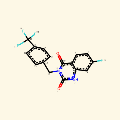 O=c1[nH]c2cc(F)ccc2c(=O)n1Cc1ccc(C(F)(F)F)cc1